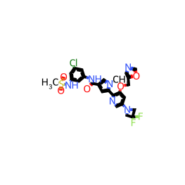 Cn1cc(C(=O)Nc2cc(Cl)cc(NS(C)(=O)=O)c2)cc1-c1ncc(N2CC(F)(F)C2)cc1OCc1cnco1